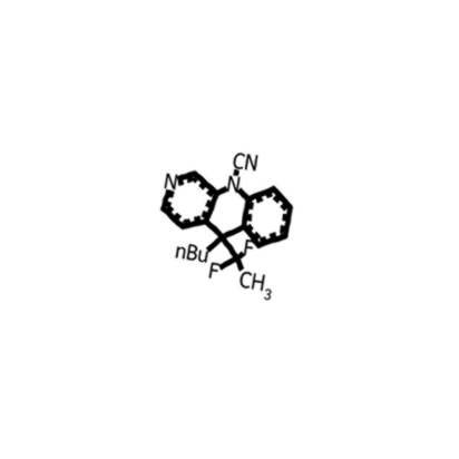 CCCCC1(C(C)(F)F)c2ccccc2N(C#N)c2cnccc21